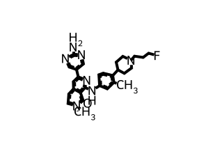 Cc1cc(Nc2nc(-c3cnc(N)nc3)cc3ccn(C)c(=O)c23)ccc1C1CCN(CCCF)CC1